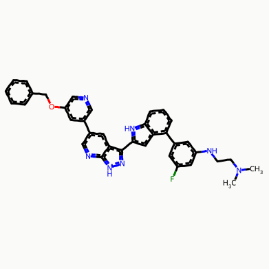 CN(C)CCNc1cc(F)cc(-c2cccc3[nH]c(-c4n[nH]c5ncc(-c6cncc(OCc7ccccc7)c6)cc45)cc23)c1